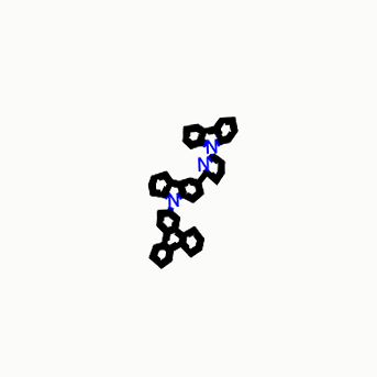 c1cc(-c2ccc3c(c2)c2ccccc2n3-c2ccc3c4ccccc4c4ccccc4c3c2)nc(-n2c3ccccc3c3ccccc32)c1